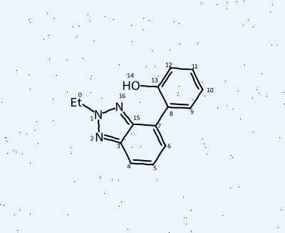 CCn1nc2cccc(-c3ccccc3O)c2n1